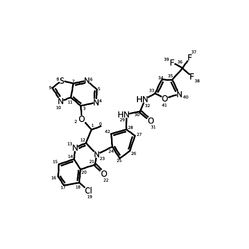 CC(Oc1ncnc2scnc12)c1nc2cccc(Cl)c2c(=O)n1-c1cccc(NC(=O)Nc2cc(C(F)(F)F)no2)c1